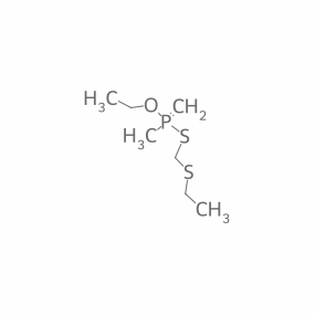 C=P(C)(OCC)SCSCC